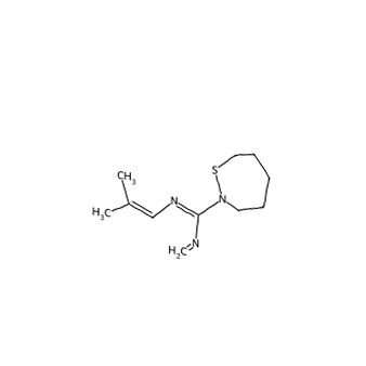 C=N/C(=N\C=C(C)C)N1CCCCCS1